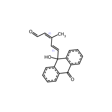 CC(=C/C=O)/C=C/C1(O)c2ccccc2C(=O)c2ccccc21